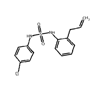 C=CCc1ccccc1NS(=O)(=O)Nc1ccc(Cl)cc1